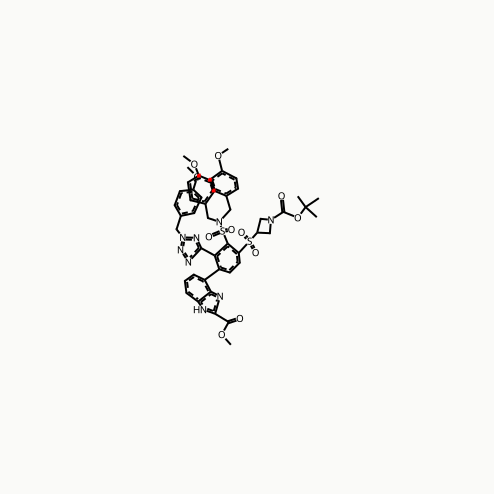 COC(=O)c1nc2c(-c3ccc(S(=O)(=O)C4CN(C(=O)OC(C)(C)C)C4)c(S(=O)(=O)N(Cc4ccc(OC)cc4)Cc4ccc(OC)cc4)c3-c3nnn(Cc4ccc(OC)cc4)n3)cccc2[nH]1